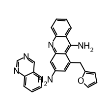 Nc1cc(Cc2ccco2)c2c(N)c3ccccc3nc2c1.c1ccc2ncncc2c1